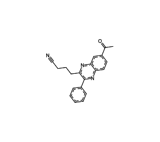 CC(=O)c1ccc2nc(-c3ccccc3)c(CCCC#N)nc2c1